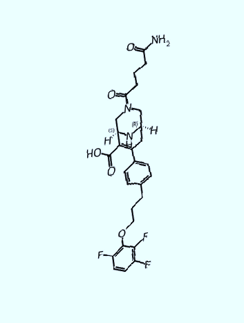 NC(=O)CCCC(=O)N1C[C@H]2CC(c3ccc(CCCOc4c(F)ccc(F)c4F)cc3)=C(C(=O)O)[C@@H](C1)N2